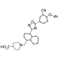 CC(C)Oc1ccc(-c2nc(-c3ccc(CN4CCC(C(=O)O)CC4)c4ccccc34)no2)cc1C#N